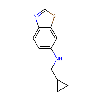 c1nc2ccc(NCC3CC3)cc2s1